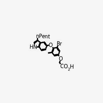 CCCCCc1c[nH]c2ccc(Oc3c(C)cc(OCC(=O)O)cc3Br)cc12